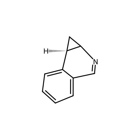 C1=NC2C[C@@H]2c2ccccc21